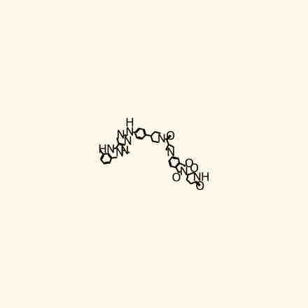 Cc1cccc(C)c1Nc1nn(C)c2nc(Nc3ccc(C4CCN(C(=O)C5CN(c6ccc7c(c6)C(=O)N(C6CCC(=O)NC6=O)C7=O)C5)CC4)cc3)ncc12